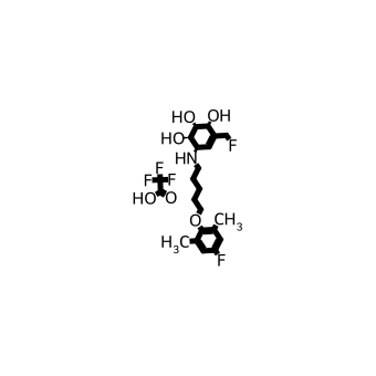 Cc1cc(F)cc(C)c1OCCCCCN[C@@H]1C=C(CF)[C@H](O)[C@H](O)[C@H]1O.O=C(O)C(F)(F)F